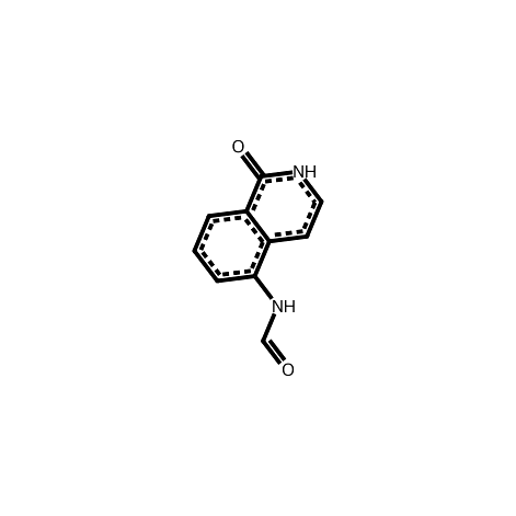 O=CNc1cccc2c(=O)[nH]ccc12